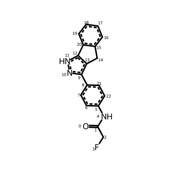 O=C(CF)Nc1ccc(-c2n[nH]c3c2Cc2ccccc2-3)cc1